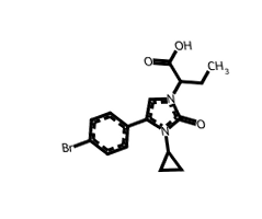 CCC(C(=O)O)n1cc(-c2ccc(Br)cc2)n(C2CC2)c1=O